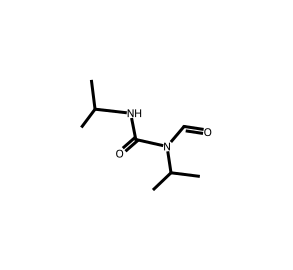 CC(C)NC(=O)N(C=O)C(C)C